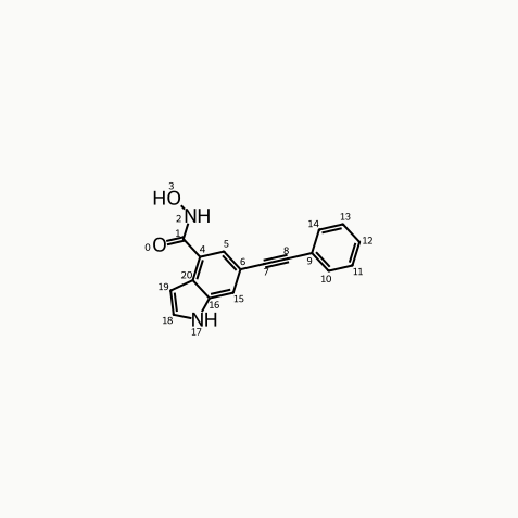 O=C(NO)c1cc(C#Cc2ccccc2)cc2[nH]ccc12